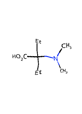 CCC(CC)(C(=O)O)N(C)C